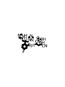 CCCCCCCC(CCC#N)OP(=O)(O)O.OC(Cn1cncn1)(Cn1cncn1)c1ccc(F)cc1F